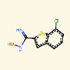 N=C(NO)c1cc2cccc(Cl)c2s1